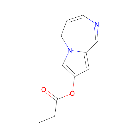 CCC(=O)Oc1cc2n(c1)CC=CN=C2